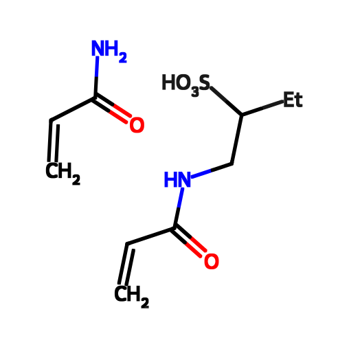 C=CC(=O)NCC(CC)S(=O)(=O)O.C=CC(N)=O